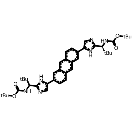 CC(C)(C)OC(=O)NC(c1ncc(-c2ccc3cc4cc(-c5cnc([C@@H](NC(=O)OC(C)(C)C)C(C)(C)C)[nH]5)ccc4cc3c2)[nH]1)C(C)(C)C